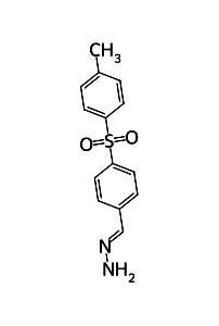 Cc1ccc(S(=O)(=O)c2ccc(C=NN)cc2)cc1